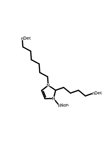 CCCCCCCCCCCCCCCCN1C=CN(CCCCCCCCC)C1CCCCCCCCCCCCCC